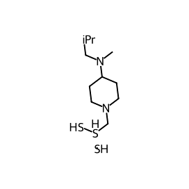 CC(C)CN(C)C1CCN(C[SH](S)S)CC1